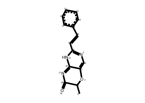 CC1OC2=CN=C(/C=C/c3ccccc3)NC2=NC1=O